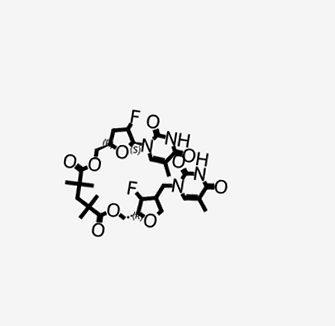 Cc1cn(CC2CO[C@H](COC(=O)C(C)(C)CC(C)(C)C(=O)OC[C@H]3CC(F)[C@@H](n4cc(C)c(=O)[nH]c4=O)O3)C2F)c(=O)[nH]c1=O